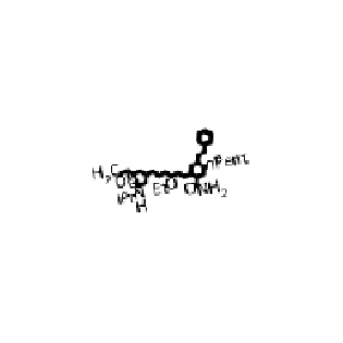 C=C(O)CCCC(CCCC(CCC1CC(CCc2ccccc2)C(CCCCC)CC1C(N)=O)OCC)CC(=O)NC(C)C